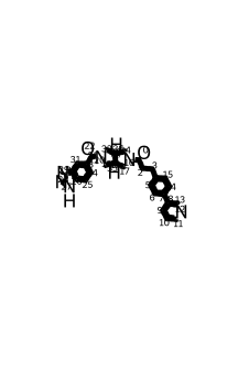 O=C(CCc1ccc(-c2cccnc2)cc1)N1C[C@@H]2CN(C(=O)c3ccc4[nH]nnc4c3)C[C@H]2C1